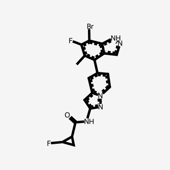 Cc1c(F)c(Br)c2[nH]ncc2c1-c1ccn2nc(NC(=O)C3CC3F)cc2c1